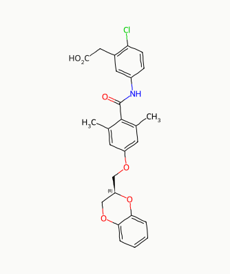 Cc1cc(OC[C@@H]2COc3ccccc3O2)cc(C)c1C(=O)Nc1ccc(Cl)c(CC(=O)O)c1